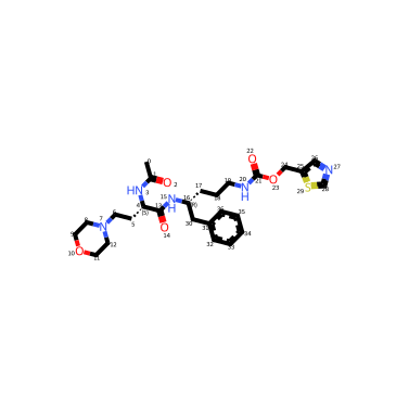 CC(=O)N[C@@H](CCN1CCOCC1)C(=O)N[C@H](CCCNC(=O)OCc1cncs1)Cc1ccccc1